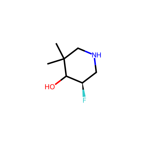 CC1(C)CNC[C@@H](F)C1O